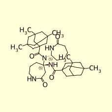 CC12CC3CC(C)(C1)CC(C(=O)N[C@]1(N(C(=O)C45CC6(C)CC(C)(CC(C)(C6)C4)C5)[C@H]4CCCCC(=O)N4)CCCNC(=O)C1)(C3)C2